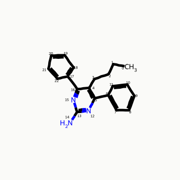 CCCCc1c(-c2ccccc2)nc(N)nc1-c1ccccc1